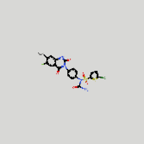 CNc1cc2[nH]c(=O)n(-c3ccc(N(C(N)=O)S(=O)(=O)c4ccc(Cl)s4)cc3)c(=O)c2cc1F